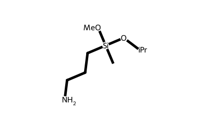 CO[Si](C)(CCCN)OC(C)C